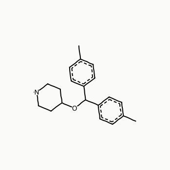 Cc1ccc(C(OC2CC[N]CC2)c2ccc(C)cc2)cc1